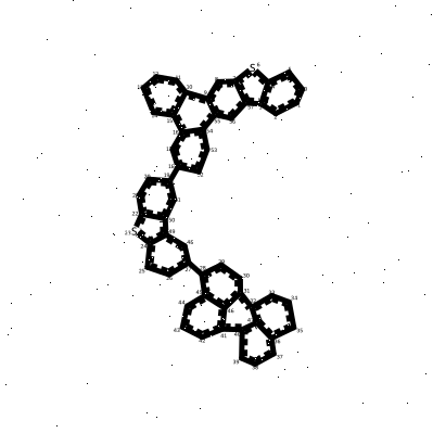 c1ccc2c(c1)sc1cc3c4ccccc4c4cc(-c5ccc6sc7ccc(-c8ccc9c%10cccc%11cccc(c%12cccc8c%129)c%11%10)cc7c6c5)ccc4c3cc12